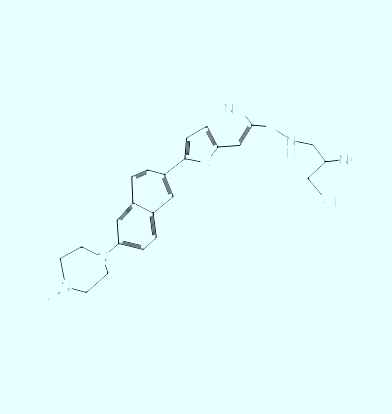 CN1CCN(c2ccc3cc(-c4ccc(/C=C(\C#N)SNCC(CO)N=O)s4)ccc3c2)CC1